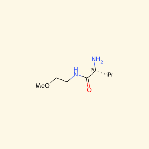 COCCNC(=O)[C@H](N)C(C)C